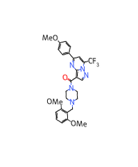 COc1ccc(-c2cc(C(F)(F)F)n3ncc(C(=O)N4CCN(Cc5c(OC)cccc5OC)CC4)c3n2)cc1